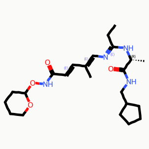 CC\C(=N/C=C(C)/C=C/C(=O)NOC1CCCCO1)N[C@H](C)C(=O)NCC1CCCC1